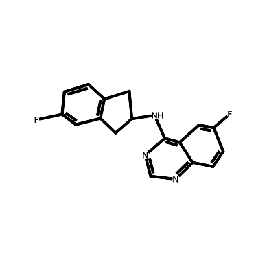 Fc1ccc2c(c1)CC(Nc1ncnc3ccc(F)cc13)C2